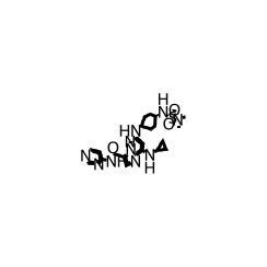 CN(C)S(=O)(=O)N[C@H]1CC[C@H](Nc2cc(NC3CC3)c3ncc(C(=O)Nc4ccncn4)n3n2)CC1